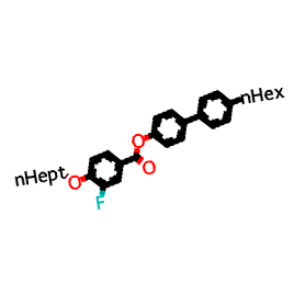 CCCCCCCOc1ccc(C(=O)Oc2ccc(-c3ccc(CCCCCC)cc3)cc2)cc1F